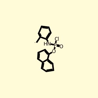 [CH2]c1ccccc1NP(=O)(Cl)Oc1cccc2ccccc12